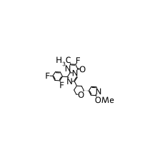 COc1cc([C@H]2CC(c3cn4c(=O)c(F)c(C)nc4c(-c4ccc(F)cc4F)n3)CCO2)ccn1